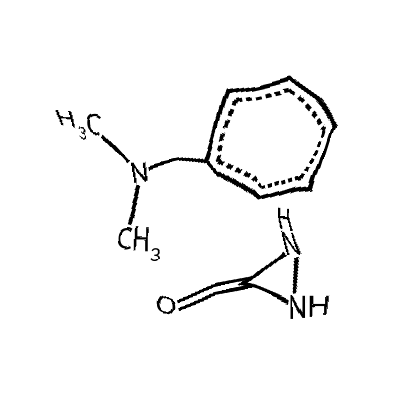 CN(C)c1ccccc1.O=C1NN1